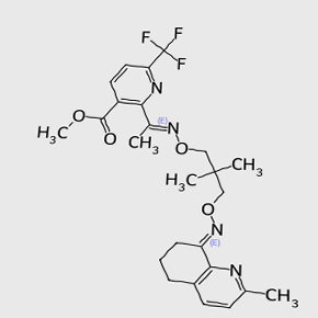 COC(=O)c1ccc(C(F)(F)F)nc1/C(C)=N/OCC(C)(C)CO/N=C1\CCCc2ccc(C)nc21